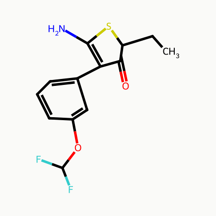 CCC1SC(N)=C(c2cccc(OC(F)F)c2)C1=O